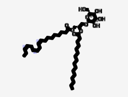 CC/C=C\C/C=C\C/C=C\CCCCCCCC(=O)OC[C@H](CO[C@@H]1O[C@H](CO)[C@H](O)[C@H](O)[C@H]1O)OC(=O)CCCCCCCCCCCCCCC